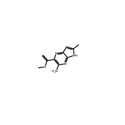 C=C(OC)c1nc2cc(C)[nH]c2nc1N